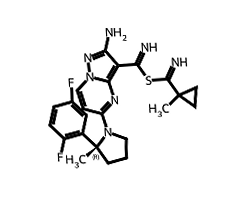 CC1(C(=N)SC(=N)c2c(N)nn3ccc(N4CCC[C@]4(C)c4cc(F)ccc4F)nc23)CC1